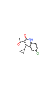 CC(=O)c1c(C2CC2)c2cc(Cl)ccc2[nH]c1=O